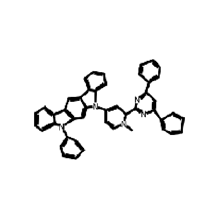 CN1C=CC(n2c3ccccc3c3cc4c5ccccc5n(-c5ccccc5)c4cc32)=CC1c1nc(-c2ccccc2)cc(-c2ccccc2)n1